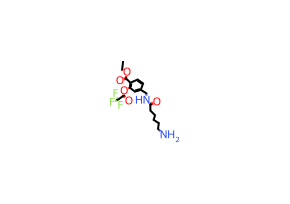 CCOC(=O)c1ccc(CNC(=O)CCCCCN)cc1OC(=O)C(F)(F)F